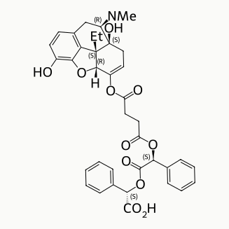 CC[C@]12c3c4ccc(O)c3O[C@H]1C(OC(=O)CCC(=O)O[C@H](C(=O)O[C@H](C(=O)O)c1ccccc1)c1ccccc1)=CC[C@@]2(O)[C@H](NC)C4